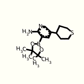 CC1(C)OB(c2cc(C3CCSCC3)cnc2N)OC1(C)C